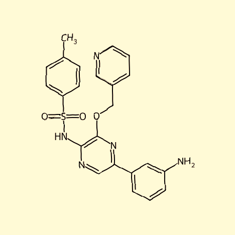 Cc1ccc(S(=O)(=O)Nc2ncc(-c3cccc(N)c3)nc2OCc2cccnc2)cc1